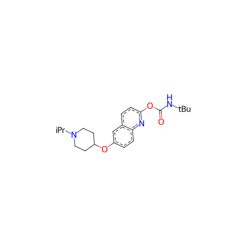 CC(C)N1CCC(Oc2ccc3nc(OC(=O)NC(C)(C)C)ccc3c2)CC1